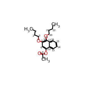 CCCCOc1cc(OC(C)=O)c2ccccc2c1OCCCC